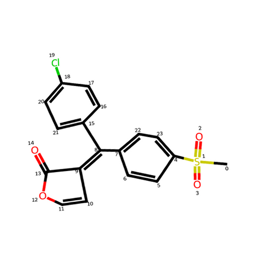 CS(=O)(=O)c1ccc(C(=C2C=COC2=O)c2ccc(Cl)cc2)cc1